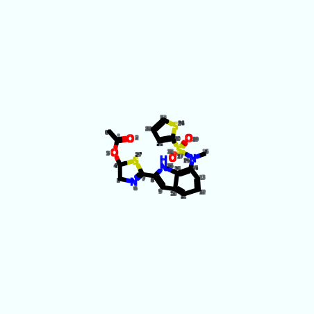 CC(=O)OC1CN=C(c2cc3cccc(N(C)S(=O)(=O)c4cccs4)c3[nH]2)S1